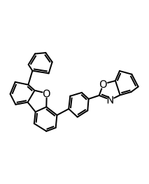 c1ccc(-c2cccc3c2oc2c(-c4ccc(-c5nc6ccccc6o5)cc4)cccc23)cc1